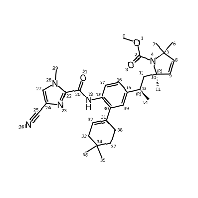 COC(=O)N1C(C)(C)C=C[C@@]1(C)C[C@@H](C)c1ccc(NC(=O)c2nc(C#N)cn2C)c(C2=CCC(C)(C)CC2)c1